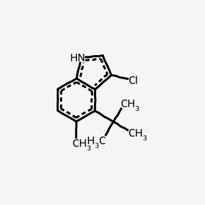 Cc1ccc2[nH]cc(Cl)c2c1C(C)(C)C